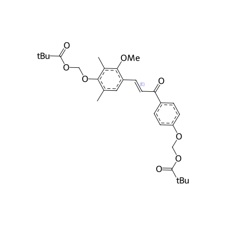 COc1c(/C=C/C(=O)c2ccc(OCOC(=O)C(C)(C)C)cc2)cc(C)c(OCOC(=O)C(C)(C)C)c1C